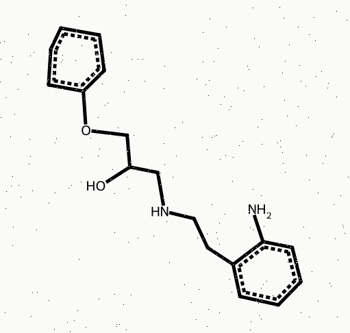 Nc1ccccc1CCNCC(O)COc1ccccc1